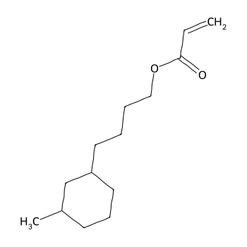 C=CC(=O)OCCCCC1CCCC(C)C1